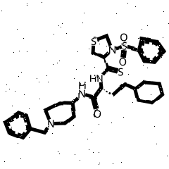 O=C(NC1CCN(Cc2ccccc2)CC1)[C@@H](CCC1CCCCC1)NC(=S)[C@H]1CSCN1S(=O)(=O)c1ccccc1